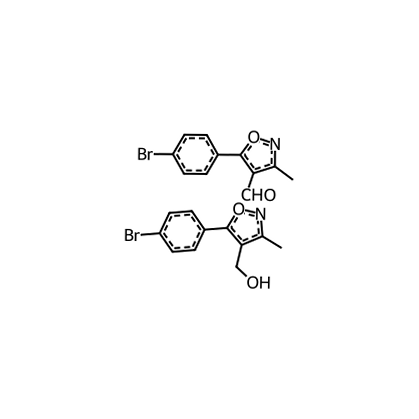 Cc1noc(-c2ccc(Br)cc2)c1C=O.Cc1noc(-c2ccc(Br)cc2)c1CO